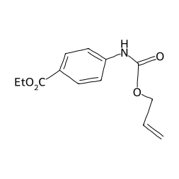 C=CCOC(=O)Nc1ccc(C(=O)OCC)cc1